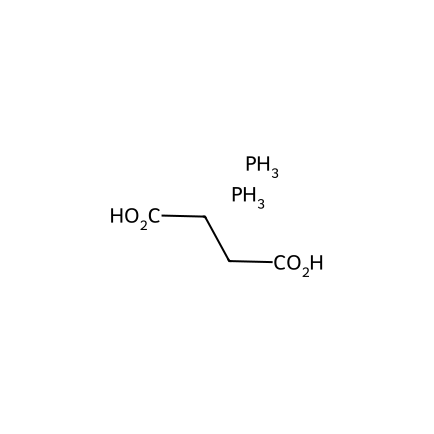 O=C(O)CCC(=O)O.P.P